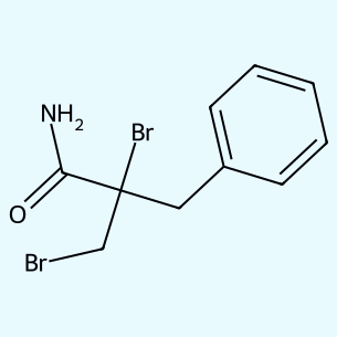 NC(=O)C(Br)(CBr)Cc1ccccc1